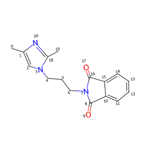 Cc1cn(CCCN2C(=O)c3ccccc3C2=O)c(C)n1